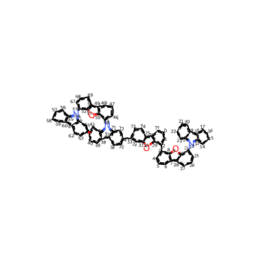 c1cc(-c2cccc3c2oc2c(-n4c5ccccc5c5ccccc54)cccc23)c2oc3cc(-c4ccc5c6ccccc6n(-c6cccc7c6oc6c(-n8c9ccccc9c9ccccc98)cccc67)c5c4)ccc3c2c1